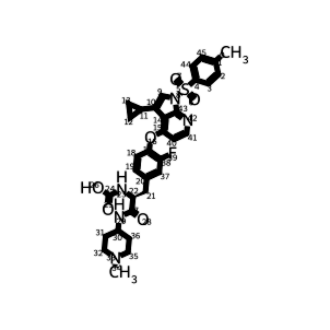 Cc1ccc(S(=O)(=O)n2cc(C3CC3)c3c(Oc4ccc(C[C@H](NC(=O)O)C(=O)NC5CCN(C)CC5)cc4F)ccnc32)cc1